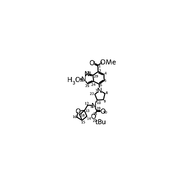 COC(=O)c1ccc(N2CC[C@@H](N(CC34CC(CO3)C4)C(=O)OC(C)(C)C)C2)c2cn(C)nc12